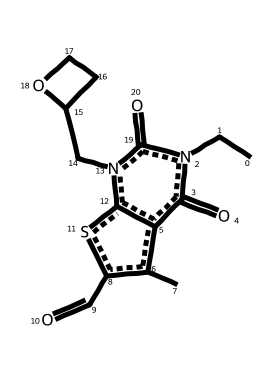 CCn1c(=O)c2c(C)c(C=O)sc2n(CC2CCO2)c1=O